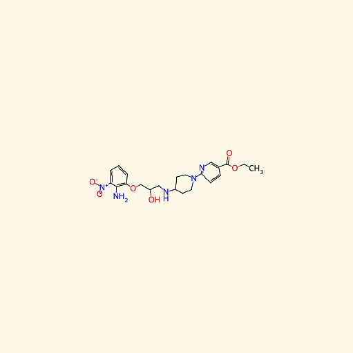 CCOC(=O)c1ccc(N2CCC(NCC(O)COc3cccc([N+](=O)[O-])c3N)CC2)nc1